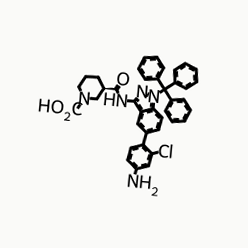 Nc1ccc(-c2ccc3c(c2)c(NC(=O)[C@@H]2CCCN(C(=O)O)C2)nn3C(c2ccccc2)(c2ccccc2)c2ccccc2)c(Cl)c1